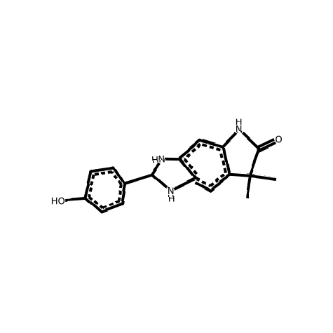 CC1(C)C(=O)Nc2cc3c(cc21)NC(c1ccc(O)cc1)N3